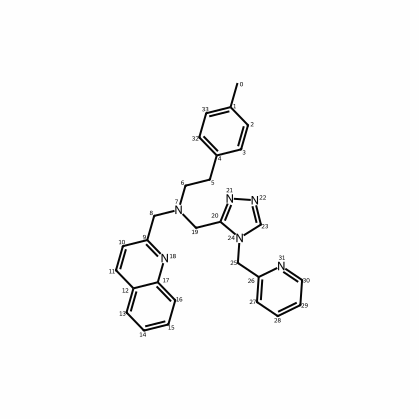 Cc1ccc(CCN(Cc2ccc3ccccc3n2)Cc2nncn2Cc2ccccn2)cc1